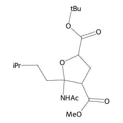 COC(=O)C1CC(C(=O)OC(C)(C)C)OC1(CCC(C)C)NC(C)=O